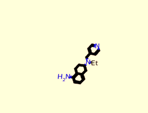 CCN(Cc1ccncc1)C1CCc2c(N)cccc2C1